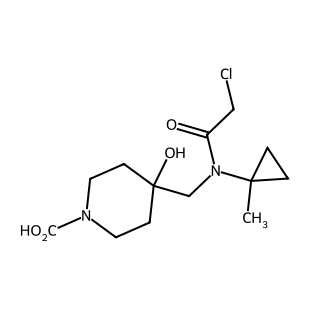 CC1(N(CC2(O)CCN(C(=O)O)CC2)C(=O)CCl)CC1